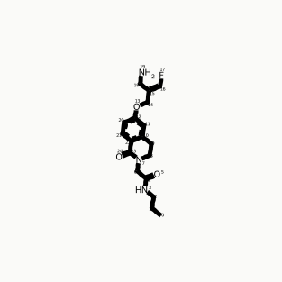 CCCNC(=O)CN1CCc2cc(OC/C(=C/F)CN)ccc2C1=O